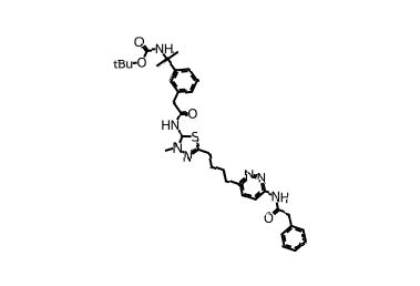 CN1N=C(CCCCc2ccc(NC(=O)Cc3ccccc3)nn2)SC1NC(=O)Cc1cccc(C(C)(C)NC(=O)OC(C)(C)C)c1